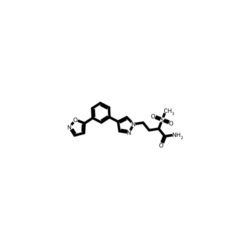 CS(=O)(=O)C(CCn1cc(-c2cccc(-c3ccno3)c2)cn1)C(N)=O